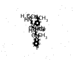 CC(=O)c1ccc(C)c(N(CCNC(C)C)C(=O)CNCC(=O)N(C)N2Cc3ccc(F)cc3C2)c1.Cl.Cl